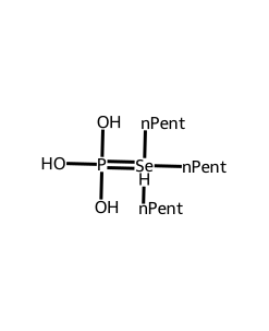 CCCCC[SeH](CCCCC)(CCCCC)=P(O)(O)O